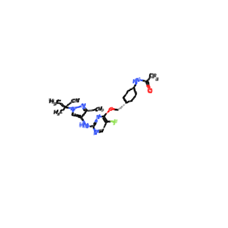 Cc1nn(C(C)(C)C#N)cc1Nc1ncc(F)c(OC[C@H]2CC[C@H](NC(=O)C(F)(F)F)CC2)n1